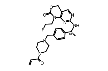 C=CC(=O)N1CCN(Cc2ccc([C@H](C)Nc3ncc4c(n3)N(CCF)C(=O)OC4)cc2)CC1